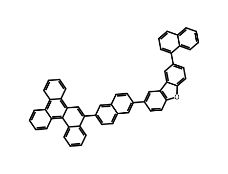 c1ccc2c(-c3ccc4oc5ccc(-c6ccc7cc(-c8cc9c%10ccccc%10c%10ccccc%10c9c9ccccc89)ccc7c6)cc5c4c3)cccc2c1